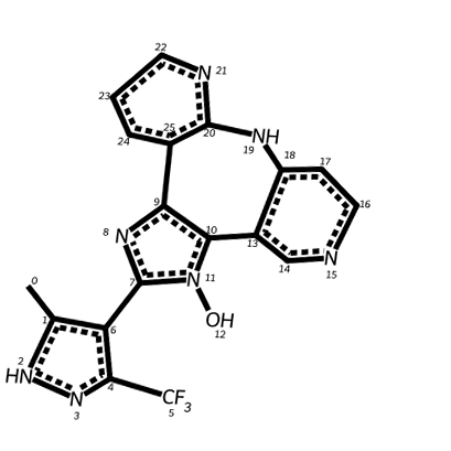 Cc1[nH]nc(C(F)(F)F)c1-c1nc2c(n1O)-c1cnccc1Nc1ncccc1-2